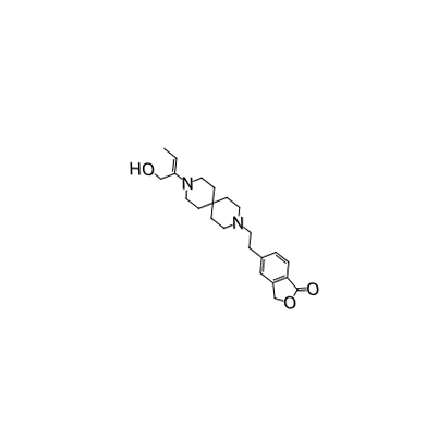 C/C=C(\CO)N1CCC2(CCN(CCc3ccc4c(c3)COC4=O)CC2)CC1